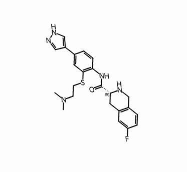 CN(C)CCSc1cc(-c2cn[nH]c2)ccc1NC(=O)[C@H]1Cc2cc(F)ccc2CN1